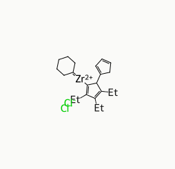 CCC1=C(CC)C(C2=CC=CC2)[C]([Zr+2]=[C]2CCCCC2)=C1CC.[Cl-].[Cl-]